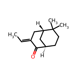 C/C=C1\C[C@H]2C[C@@H](CCC2(C)C)C1=O